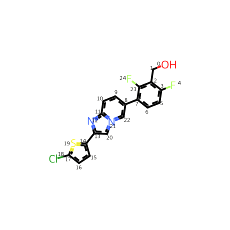 OCc1c(F)ccc(-c2ccc3nc(-c4ccc(Cl)s4)cn3c2)c1F